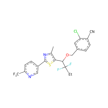 CCC(F)(F)C(OCc1ccc(C#N)c(Cl)c1)c1sc(-c2ccc(C(F)(F)F)nc2)nc1C